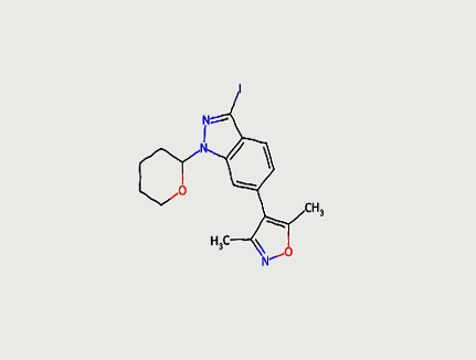 Cc1noc(C)c1-c1ccc2c(I)nn(C3CCCCO3)c2c1